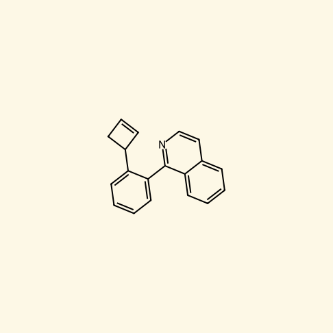 C1=CC(c2ccccc2-c2nccc3ccccc23)C1